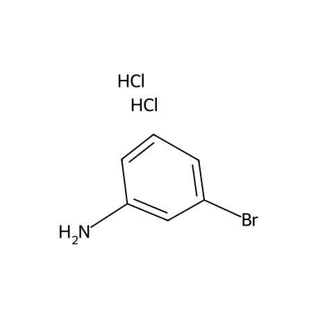 Cl.Cl.Nc1cccc(Br)c1